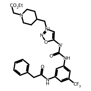 CCOC(=O)CN1CCC(C[n+]2cc([N-]C(=O)Nc3cc(NC(=O)Cc4ccccc4)cc(C(F)(F)F)c3)on2)CC1